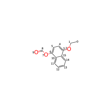 CCOc1ccc(O[C]=O)c2ccccc12